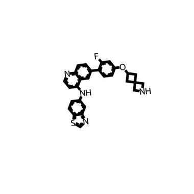 Fc1cc(OC2CC3(CNC3)C2)ccc1-c1ccc2nccc(Nc3ccc4scnc4c3)c2c1